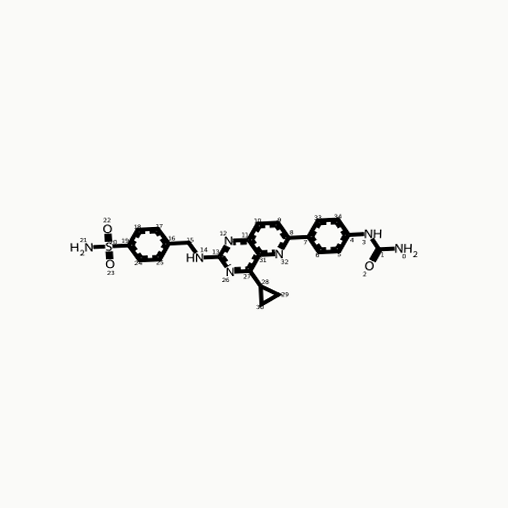 NC(=O)Nc1ccc(-c2ccc3nc(NCc4ccc(S(N)(=O)=O)cc4)nc(C4CC4)c3n2)cc1